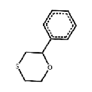 c1ccc([C]2CSCCO2)cc1